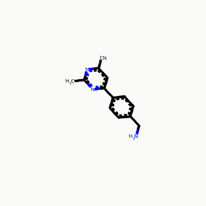 Cc1nc(C#N)cc(-c2ccc(CN)cc2)n1